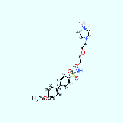 BN1CCN(CCOCCONS(=O)(=O)c2ccc(-c3ccc(OC)cc3)cc2)CC1